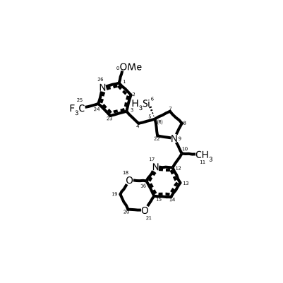 COc1cc(C[C@@]2([SiH3])CCN(C(C)c3ccc4c(n3)OCCO4)C2)cc(C(F)(F)F)n1